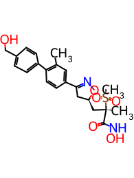 Cc1cc(C2=NO[C@@H](C[C@](C)(C(=O)NO)S(C)(=O)=O)C2)ccc1-c1ccc(CO)cc1